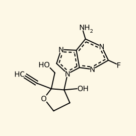 C#CC1(CO)OCCC1(O)n1cnc2c(N)nc(F)nc21